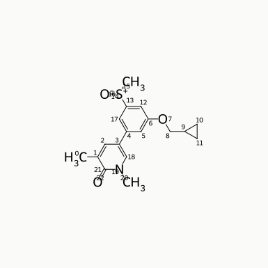 Cc1cc(-c2cc(OCC3CC3)cc([S+](C)[O-])c2)cn(C)c1=O